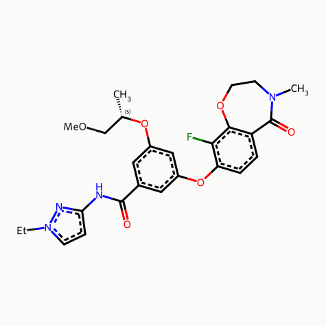 CCn1ccc(NC(=O)c2cc(Oc3ccc4c(c3F)OCCN(C)C4=O)cc(O[C@@H](C)COC)c2)n1